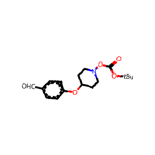 CC(C)(C)OC(=O)ON1CCC(Oc2ccc(C=O)cc2)CC1